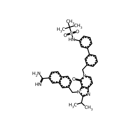 CC(C)c1nc2ccn(Cc3cccc(-c4cccc(NS(=O)(=O)C(C)(C)C)c4)c3)c(=O)c2n1Cc1ccc2ccc(C(=N)N)cc2c1